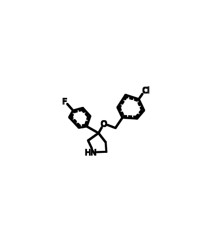 Fc1ccc(C2(OCc3ccc(Cl)cc3)CCNC2)cc1